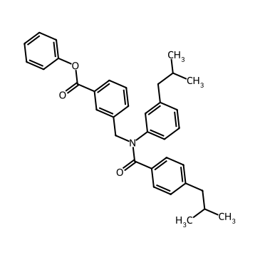 CC(C)Cc1ccc(C(=O)N(Cc2cccc(C(=O)Oc3ccccc3)c2)c2cccc(CC(C)C)c2)cc1